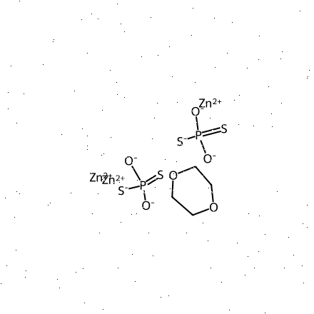 C1COCCO1.[O-]P([O-])(=S)[S-].[O-]P([O-])(=S)[S-].[Zn+2].[Zn+2].[Zn+2]